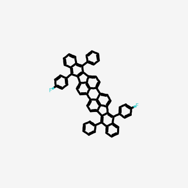 Fc1ccc(-c2c3c(c(-c4ccccc4)c4ccccc24)-c2ccc4c5ccc6c7c(ccc(c8ccc-3c2c48)c75)-c2c-6c(-c3ccc(F)cc3)c3ccccc3c2-c2ccccc2)cc1